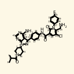 CC(C)C(=O)N1CCC(n2nc(-c3ccc(NC(=O)c4cc(Cl)c(CN)n(-c5ccc(F)cc5)c4=O)cc3)c3c(N)ncnc32)CC1